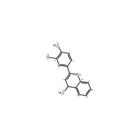 Cc1ccc(C2=CC(C)c3ccccc3O2)cc1Cl